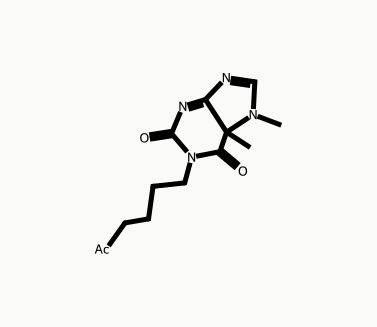 CC(=O)CCCCN1C(=O)N=C2N=CN(C)C2(C)C1=O